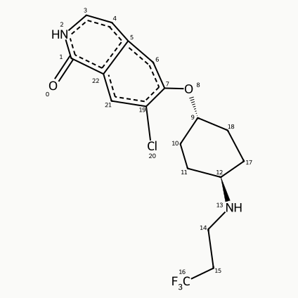 O=c1[nH]ccc2cc(O[C@H]3CC[C@H](NCCC(F)(F)F)CC3)c(Cl)cc12